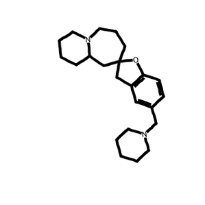 c1cc2c(cc1CN1CCCCC1)CC1(CCCN3CCCCC3C1)O2